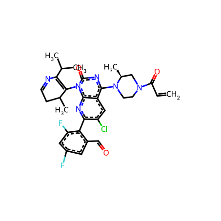 C=CC(=O)N1CCN(c2nc(=O)n(C3=C(C(C)C)N=CCC3C)c3nc(-c4c(F)cc(F)cc4C=O)c(Cl)cc23)[C@@H](C)C1